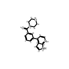 O=C(c1cccc(-c2ccnc3[nH]ccc23)c1)N1CCOCC1